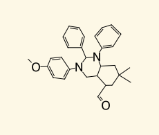 COc1ccc(N2CC3C(C=O)CC(C)(C)CC3N(c3ccccc3)C2c2ccccc2)cc1